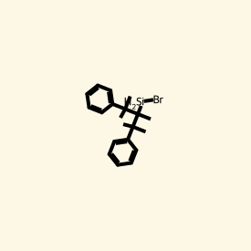 CC(C)(c1ccccc1)C(C)([SiH2]Br)C(C)(C)c1ccccc1